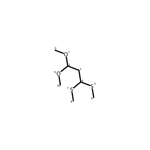 COC(CC(SC)SC)OC